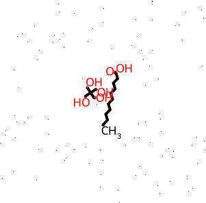 CCCCCCCCCCCC(=O)O.OCC(CO)(CO)CO